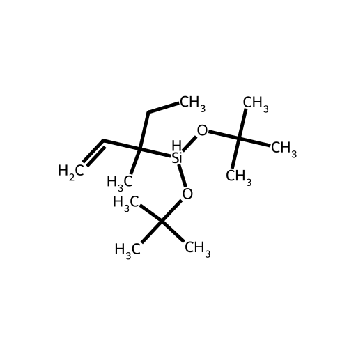 C=CC(C)(CC)[SiH](OC(C)(C)C)OC(C)(C)C